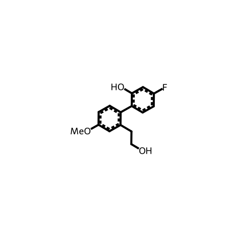 COc1ccc(-c2ccc(F)cc2O)c(CCO)c1